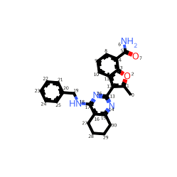 Cc1oc2c(C(N)=O)cccc2c1-c1nc2c(c(NCc3ccccc3)n1)CCCC2